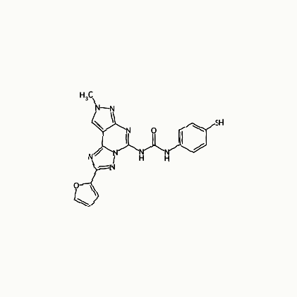 Cn1cc2c(nc(NC(=O)Nc3ccc(S)cc3)n3nc(-c4ccco4)nc23)n1